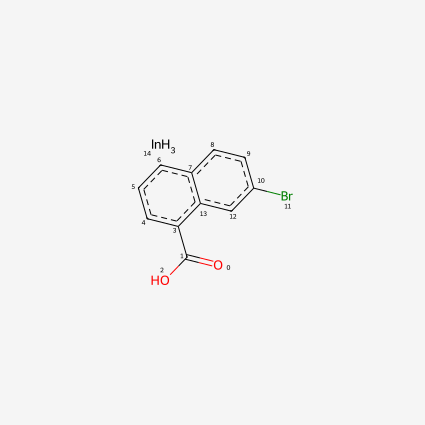 O=C(O)c1cccc2ccc(Br)cc12.[InH3]